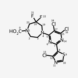 O=C(O)N1CCN(c2nc(-c3scnc3Cl)nc(Cl)c2Cl)CC(F)(F)C1